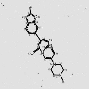 Cc1nc2ccc(C3=C\C(=O)N4C=C(N5CCN(C)CC5)C=C\C4=C/C=C/3)cc2o1